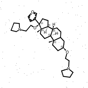 C[C@]12CC[C@H](OCCN3CCCC3)CC1CC[C@@H]1[C@@H]2CC[C@@]2(C)[C@H]1CC[C@@]2(OCCN1CCCC1)c1ccoc1